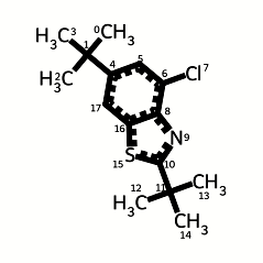 CC(C)(C)c1cc(Cl)c2nc(C(C)(C)C)sc2c1